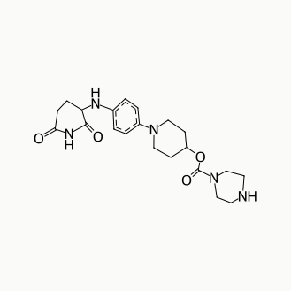 O=C1CCC(Nc2ccc(N3CCC(OC(=O)N4CCNCC4)CC3)cc2)C(=O)N1